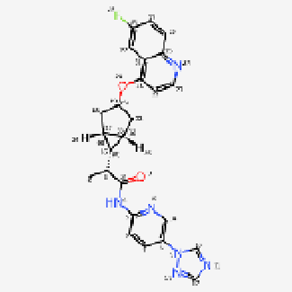 CC(C(=O)Nc1ccc(-n2cncn2)cn1)[C@@H]1[C@@H]2C[C@@H](Oc3ccnc4ccc(F)cc34)C[C@@H]21